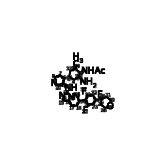 CC(=O)N[C@@H]1[C@H](N)C[C@H](c2ccncc2Nc2ncc3ccc(-c4c(F)cc(C5(F)CCOCC5)cc4F)nn23)C[C@@H]1C